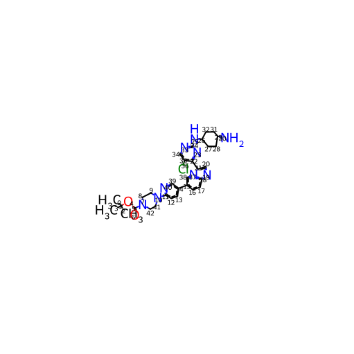 CC(C)(C)OC(=O)N1CCN(c2ccc(-c3ccc4ncc(-c5nc(NC6CCC(N)CC6)ncc5Cl)n4c3)cn2)CC1